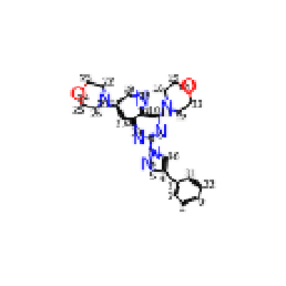 c1ccc(-c2cnn(-c3nc(N4CCOCC4)c4ncc(N5CCOCC5)cc4n3)c2)cc1